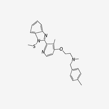 CSn1c(-c2nccc(OCCN(C)Cc3ccc(C)cc3)c2C)nc2ccccc21